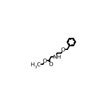 CCOC(=O)CNCCOCc1ccccc1